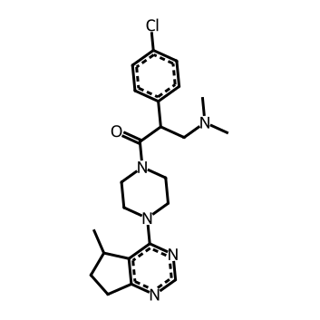 CC1CCc2ncnc(N3CCN(C(=O)C(CN(C)C)c4ccc(Cl)cc4)CC3)c21